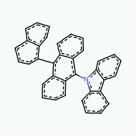 c1ccc2c(-c3c4ccccc4c(-n4c5ccccc5c5ccccc54)c4ccccc34)cccc2c1